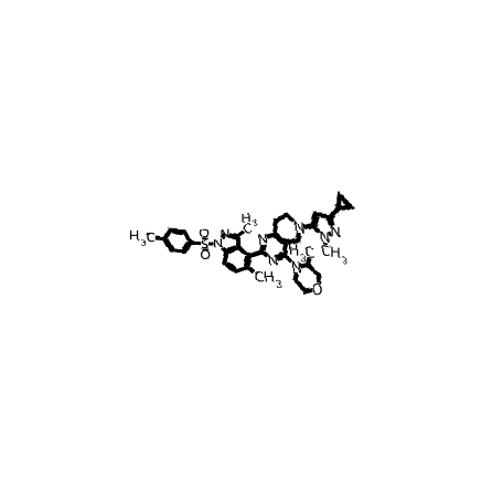 Cc1ccc(S(=O)(=O)n2nc(C)c3c(-c4nc5c(c(N6CCOCC6C)n4)CN(c4cc(C6CC6)nn4C)CC5)c(C)ccc32)cc1